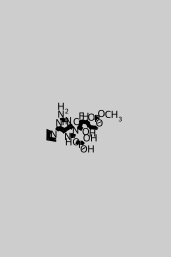 COP1OC[C@H]2O[C@@H](n3cnc4c(N5CCC5)nc(N)nc43)[C@](C)(F)[C@@H]2O1.OP(O)O